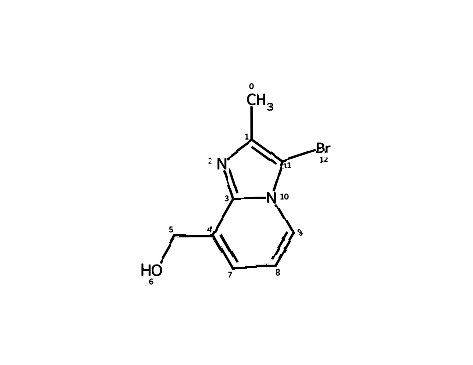 Cc1nc2c(CO)cccn2c1Br